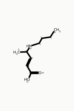 CCCCNC(C)C=CC(=O)O